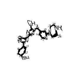 Cc1nc(-c2nc(-c3ccc(C(C)(C)C)cc3)no2)nn1Cc1ccnc(N2CCNCC2)c1